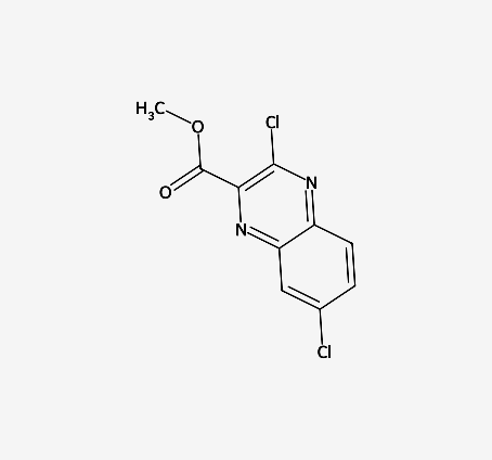 COC(=O)c1nc2cc(Cl)ccc2nc1Cl